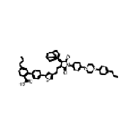 CCCc1ccc(N2CCN(c3ccc(N4C(=O)C(=CCc5csc(-c6ccc(-c7cc(CCC)ccc7C(=O)O)cc6)c5)C(=C5C6CC7CC(C6)CC5C7)C4=O)cc3)CC2)cc1